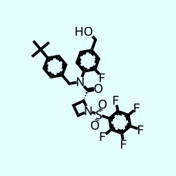 CC(C)(C)c1ccc(CN(C(=O)[C@H]2CCN2S(=O)(=O)c2c(F)c(F)c(F)c(F)c2F)c2ccc(CO)cc2F)cc1